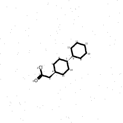 O=C(Cl)C[C@H]1CC[C@H](C2CCCCC2)CC1